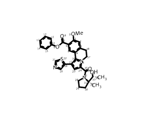 COc1cc2c(cc1C(=O)Oc1ccccc1)-c1c(-c3cncs3)cc(C(=O)N3CCC[C@]3(C)[C@@H](C)O)n1CC2